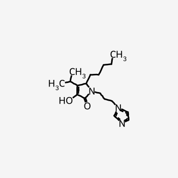 CCCCCC1C(C(C)C)=C(O)C(=O)N1CCCn1ccnc1